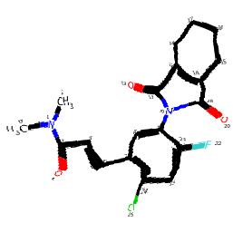 CN(C)C(=O)C=Cc1cc(N2C(=O)C3=C(CCCC3)C2=O)c(F)cc1Cl